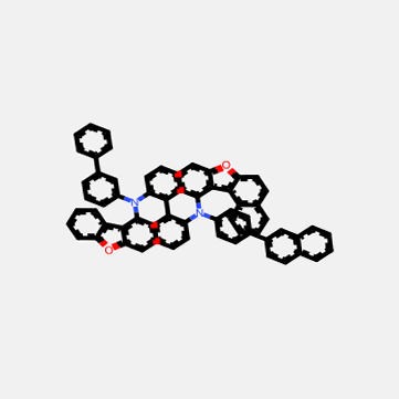 c1ccc(-c2cccc(N(c3ccccc3-c3ccccc3N(c3ccc(-c4ccc5ccccc5c4)cc3)c3cccc4oc5ccc6ccccc6c5c34)c3cccc4oc5ccccc5c34)c2)cc1